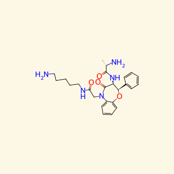 C[C@H](N)C(=O)N[C@@H]1C(=O)N(CC(=O)NCCCCCN)c2ccccc2O[C@@H]1c1ccccc1